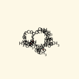 COOC(=O)CC[C@@H]1NC(=O)[C@H](Cc2ccc(O)cc2)NC(=O)[C@@H]2CSCc3cc(cc(c3)OCCCCCCO/N=C/C(=O)N[C@@H](CC(C)C)C(=O)N2)CSC[C@@H](C(N)=O)NC(=O)[C@H](C)NC(=O)[C@H](Cc2cnc[nH]2)NC(=O)[C@@H](CCC(=O)OOC)NC(=O)[C@H](Cc2c[nH]c3ccccc23)NC1=O